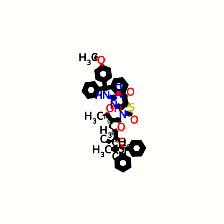 CC[C@H](O[Si](c1ccccc1)(c1ccccc1)C(C)(C)C)[C@@H]1C[C@@H]([C@H](C)O)[C@H](n2c(=O)sc3c(=O)[nH]c(NC(c4ccccc4)(c4ccccc4)c4ccc(OC)cc4)nc32)O1